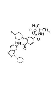 CC(C)(C)NS(=O)(=O)c1ccc(C(=O)Nc2ccc3cnn(C4CCCC4)c3c2)c(N2CCC3(CC2)CC3)c1